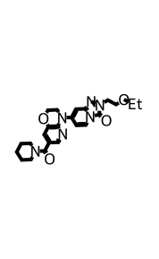 CCOCCn1nc2cc(N3CCOc4cc(C(=O)N5CCCCC5)cnc43)ccn2c1=O